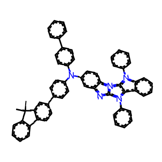 CC1(C)c2ccccc2-c2ccc(-c3ccc(N(c4ccc(-c5ccccc5)cc4)c4ccc5c(c4)nc4n(-c6ccccc6)c6c7ccccc7n(-c7ccccc7)c6n54)cc3)cc21